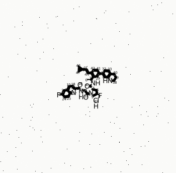 C[C@H](NC(=O)[C@@H]1C[C@@H](F)CN1C(=O)CNC(=O)c1ccc2cc(F)ccc2n1)c1cc(-c2ccc3c(c2)NCCC3)ccc1/C=C/C1CC1.Cl